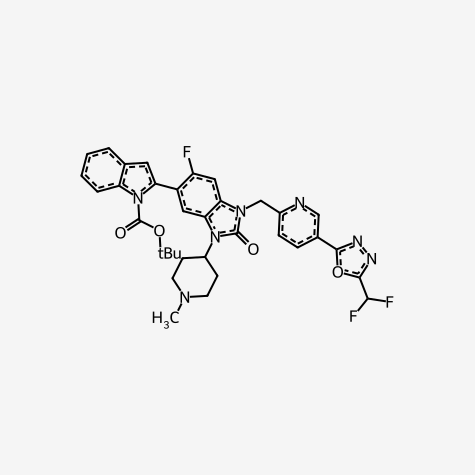 CN1CCC(n2c(=O)n(Cc3ccc(-c4nnc(C(F)F)o4)cn3)c3cc(F)c(-c4cc5ccccc5n4C(=O)OC(C)(C)C)cc32)CC1